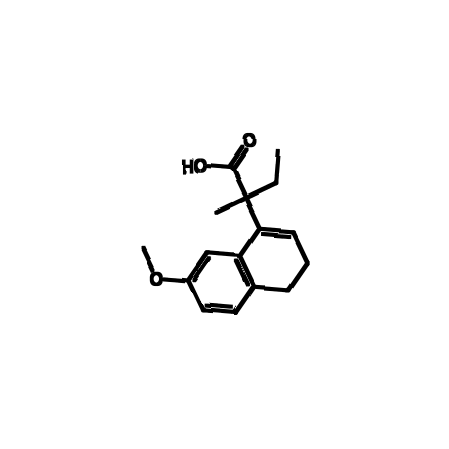 CCC(C)(C(=O)O)C1=CCCc2ccc(OC)cc21